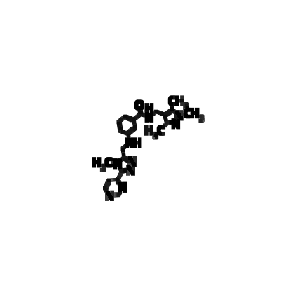 Cc1nn(C)c(C)c1CNC(=O)c1cccc(NCc2nnc(-c3ccncn3)n2C)c1